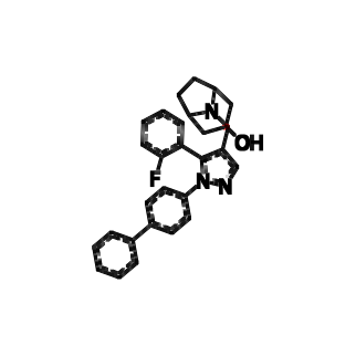 OC1CC2CCC(C1)N2Cc1cnn(-c2ccc(-c3ccccc3)cc2)c1-c1ccccc1F